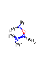 [7BH2]N(ON(C(C)C)C(C)C)N(C(C)C)C(C)C